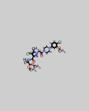 COc1cc(N2CCN(C(=O)Cn3nc(C(=O)NC(C)C(OC)OC)c(Cl)c3C)CC2)ccc1Cl